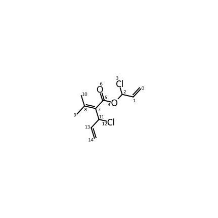 C=CC(Cl)OC(=O)C(=C(C)C)C(Cl)C=C